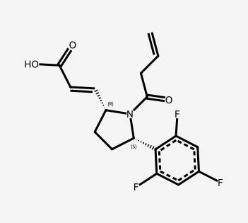 C=CCC(=O)N1[C@@H](C=CC(=O)O)CC[C@H]1c1c(F)cc(F)cc1F